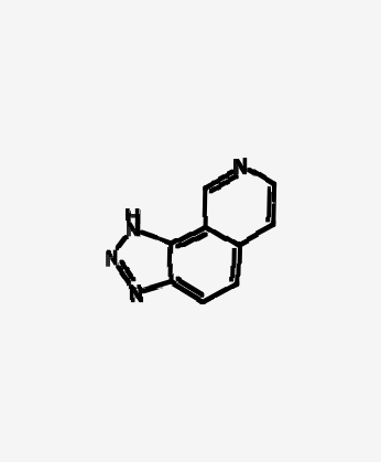 c1cc2ccc3nn[nH]c3c2cn1